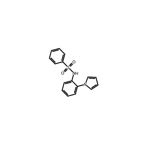 O=S(=O)(Nc1ccccc1-n1cccc1)c1ccccc1